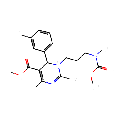 COC1=NC(C)=C(C(=O)OC(C)C)C(c2cccc([N+](=O)[O-])c2)N1CCCN(C)C(=O)OC(C)(C)C